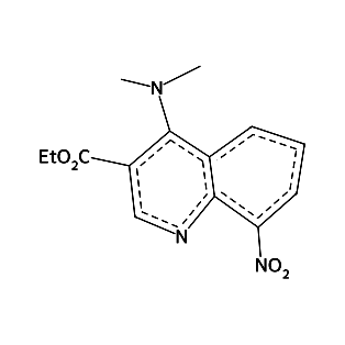 CCOC(=O)c1cnc2c([N+](=O)[O-])cccc2c1N(C)C